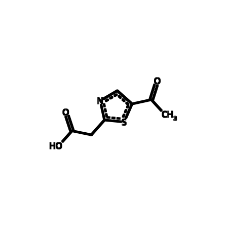 CC(=O)c1cnc(CC(=O)O)s1